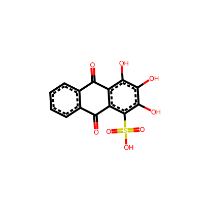 O=C1c2ccccc2C(=O)c2c1c(O)c(O)c(O)c2S(=O)(=O)O